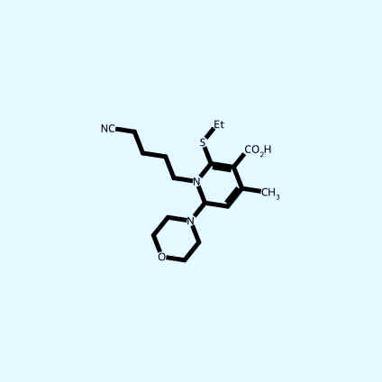 CCSC1=C(C(=O)O)C(C)=CC(N2CCOCC2)N1CCCCC#N